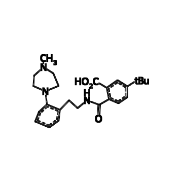 CN1CCN(c2ccccc2CCNC(=O)c2ccc(C(C)(C)C)cc2C(=O)O)CC1